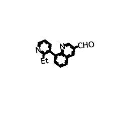 CCc1ncccc1-c1cccc2cc(C=O)cnc12